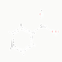 [O]=[Sn]([OH])[c]1ccccc1